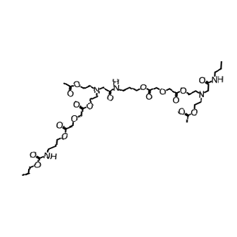 CCCNC(=O)CN(CCOC(C)=O)CCOC(=O)COCC(=O)OCCCNC(=O)CN(CCOC(C)=O)CCOC(=O)COCC(=O)OCCCNC(=O)OCCC